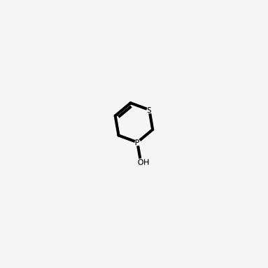 OP1CC=CSC1